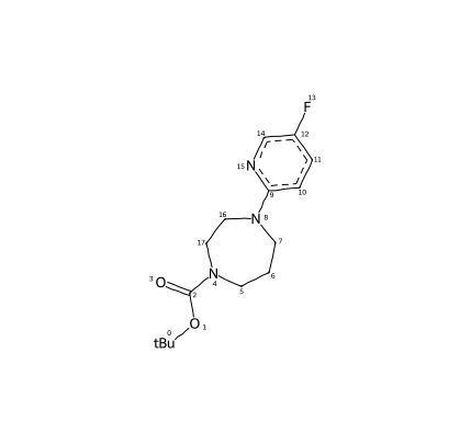 CC(C)(C)OC(=O)N1CCCN(c2ccc(F)cn2)CC1